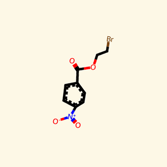 O=C(OCCBr)c1ccc([N+](=O)[O-])cc1